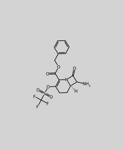 NC1C(=O)N2C(C(=O)OCc3ccccc3)=C(OS(=O)(=O)C(F)(F)F)CC[C@H]12